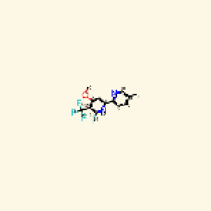 COc1cc(-c2ccc(C)cn2)nc(F)c1C(F)(F)F